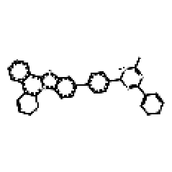 CC1=NC(C2=CCCC=C2)=NC(c2ccc(-c3ccc4c(c3)nc3c5ccccc5c5c(n43)CCC=C5)cc2)N1